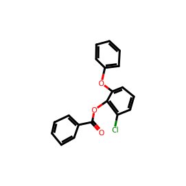 O=C(Oc1c(Cl)cccc1Oc1ccccc1)c1ccccc1